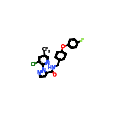 O=C(NCc1ccc(Oc2ccc(F)cc2)cc1)c1ccnn1-c1ncc(C(F)(F)F)cc1Cl